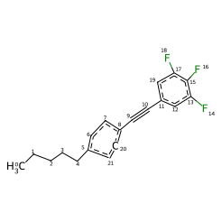 CCCCCc1ccc(C#Cc2cc(F)c(F)c(F)c2)cc1